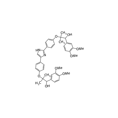 COc1ccc(C(O)C(C)(C)Oc2ccc(-c3c[nH]c(-c4ccc(OC(C)(C)C(O)c5ccc(OC)c(OC)c5)cc4)n3)cc2)cc1OC